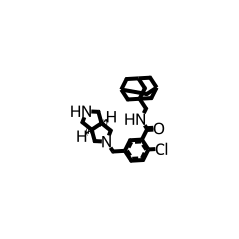 O=C(NCC12CC3CC(CC(C3)C1)C2)c1cc(CN2C[C@H]3CNC[C@H]3C2)ccc1Cl